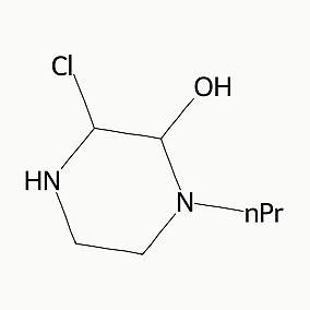 CCCN1CCNC(Cl)C1O